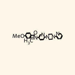 COc1ccc(C(=O)Nc2ccc(N3CCN(c4ccccn4)CC3)nc2)c(C)c1